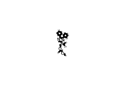 CCOCC(C)OCCN(c1cnc(-c2ccccc2)c(-c2ccccc2)n1)C(C)C